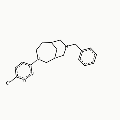 Clc1ccc(N2CCC3CC(CN(Cc4ccccc4)C3)C2)nn1